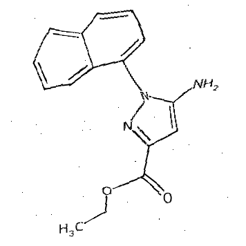 CCOC(=O)c1cc(N)n(-c2cccc3ccccc23)n1